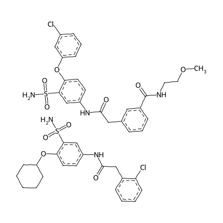 COCCNC(=O)c1cccc(CC(=O)Nc2ccc(Oc3cccc(Cl)c3)c(S(N)(=O)=O)c2)c1.NS(=O)(=O)c1cc(NC(=O)Cc2ccccc2Cl)ccc1OC1CCCCC1